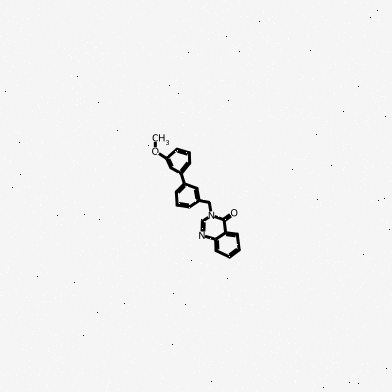 COc1cccc(-c2cccc(Cn3cnc4ccccc4c3=O)c2)c1